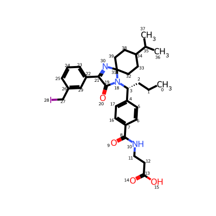 CCC[C@H](c1ccc(C(=O)NCCC(=O)O)cc1)N1C(=O)C(c2cccc(CI)c2)=NC12CCC(C(C)C)CC2